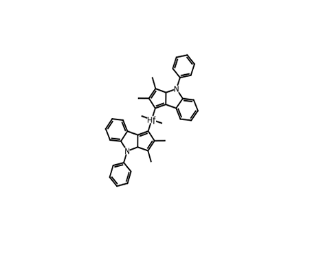 CC1=C(C)C2C(=[C]1[Hf]([CH3])([CH3])[C]1=C3c4ccccc4N(c4ccccc4)C3C(C)=C1C)c1ccccc1N2c1ccccc1